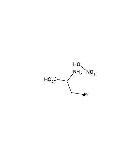 CC(C)CC(N)C(=O)O.O=[N+]([O-])O